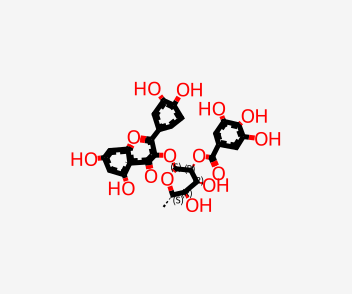 C[C@@H]1O[C@@H](Oc2c(-c3ccc(O)c(O)c3)oc3cc(O)cc(O)c3c2=O)[C@H](OC(=O)c2cc(O)c(O)c(O)c2)[C@H](O)[C@H]1O